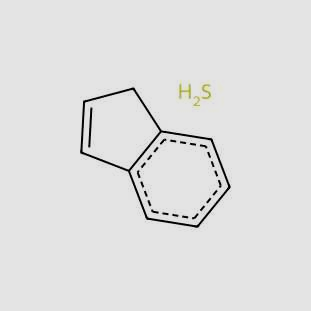 C1=Cc2ccccc2C1.S